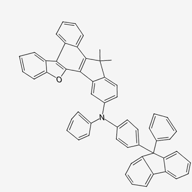 CC1(C)c2ccc(N(c3ccccc3)c3ccc(C4(c5ccccc5)c5ccccc5-c5ccccc54)cc3)cc2-c2c1c1ccccc1c1c2oc2ccccc21